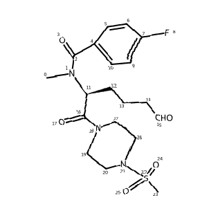 CN(C(=O)c1ccc(F)cc1)[C@@H](CCCC=O)C(=O)N1CCN(S(C)(=O)=O)CC1